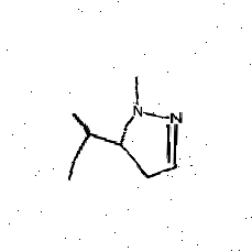 CC(C)C1CC=NN1C